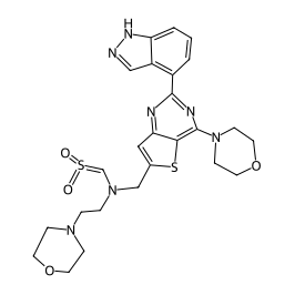 O=S(=O)=CN(CCN1CCOCC1)Cc1cc2nc(-c3cccc4[nH]ncc34)nc(N3CCOCC3)c2s1